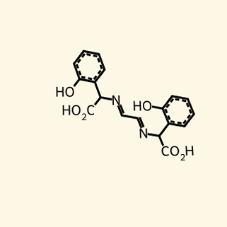 O=C(O)C(N=CC=NC(C(=O)O)c1ccccc1O)c1ccccc1O